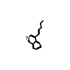 CCC/C=C/c1cncc2ccccc12